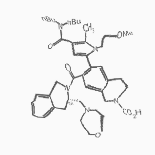 CCCCN(CCCC)C(=O)c1cc(-c2cc3c(cc2C(=O)N2Cc4ccccc4C[C@H]2CN2CCOCC2)CN(C(=O)O)CC3)n(CCOC)c1C